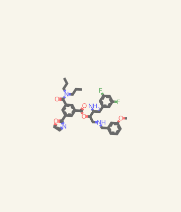 CCCN(CCC)C(=O)c1cc(C(=O)OC(CNCc2cccc(OC)c2)C(N)Cc2cc(F)cc(F)c2)cc(-c2ncco2)c1